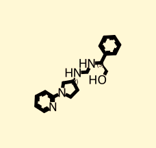 OC[C@@H](NCN[C@@H]1CCN(c2ccccn2)C1)c1ccccc1